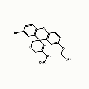 CC(C)(C)COc1cc2c(cn1)Oc1ccc(Br)cc1C21COCC(NC=O)=N1